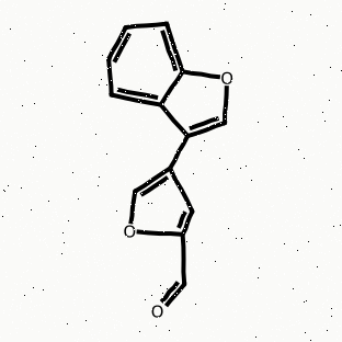 O=Cc1cc(-c2coc3ccccc23)co1